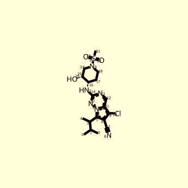 CC(C)C(C)c1c(C#N)c(Cl)c2cnc(N[C@H]3CCN(S(C)(=O)=O)C[C@H]3O)nn12